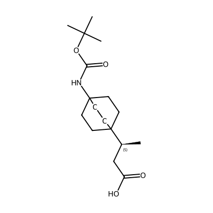 C[C@@H](CC(=O)O)C12CCC(NC(=O)OC(C)(C)C)(CC1)CC2